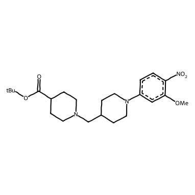 COc1cc(N2CCC(CN3CCC(C(=O)OC(C)(C)C)CC3)CC2)ccc1[N+](=O)[O-]